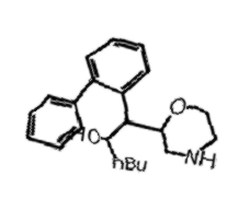 CCCCC(O)C(c1ccccc1-c1ccccc1)C1CNCCO1